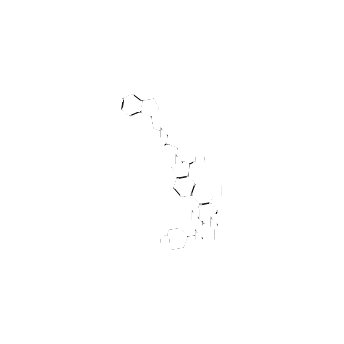 O=C(CN1Cc2ccc(-c3nc(NC4CCOCC4)ncc3Cl)cc2C1=O)NCC1CCc2ccccc21